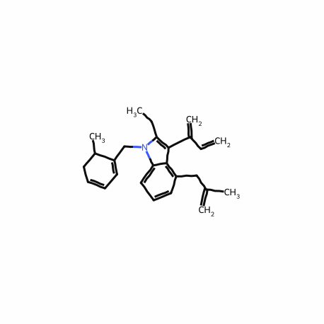 C=CC(=C)c1c(CC)n(CC2=CC=CCC2C)c2cccc(CC(=C)C)c12